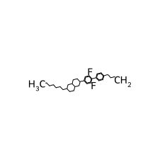 C=CCCc1ccc(-c2c(F)cc(C3CCC4CC(CCCCCCC)CCC4C3)cc2F)cc1